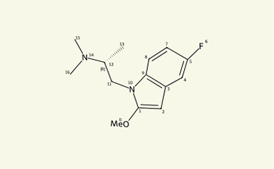 COc1cc2cc(F)ccc2n1C[C@@H](C)N(C)C